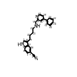 N#Cc1ccc2[nH]cc(CCCCNCc3cc(-c4ccccc4)ccn3)c2c1